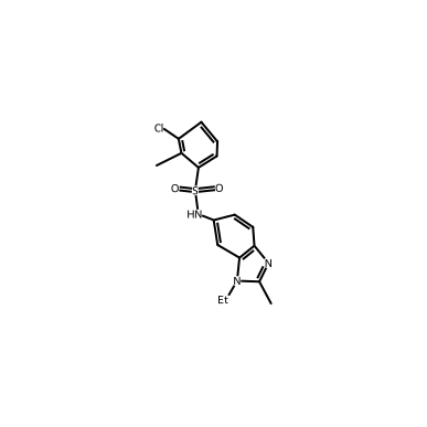 CCn1c(C)nc2ccc(NS(=O)(=O)c3cccc(Cl)c3C)cc21